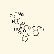 COC(=O)c1ncn([C@@H]2OC(COC(=O)c3ccccc3C)[C@@H](OC(=O)c3ccccc3C)[C@H]2O)c1CC#N